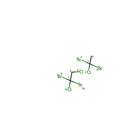 CC(Cl)(Br)Br.ClCC(Cl)(Br)Br